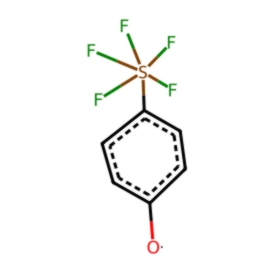 [O]c1ccc(S(F)(F)(F)(F)F)cc1